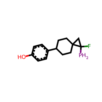 Oc1ccc(C2CCC3(CC2)CC3(F)P)cc1